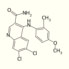 COc1ccc(Nc2c(C(N)=O)cnc3cc(Cl)c(Cl)cc23)c(C)c1